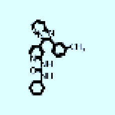 Cc1cccc(-c2nc3cccnn3c2-c2ccnc(NC(=O)NC3CCCCC3)c2)c1